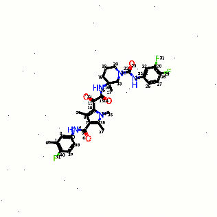 Cc1cc(NC(=O)c2c(C)c(C(=O)C(=O)NC3(C)CCCN(C(=O)Nc4ccc(F)c(F)c4)C3)n(C)c2C)ccc1F